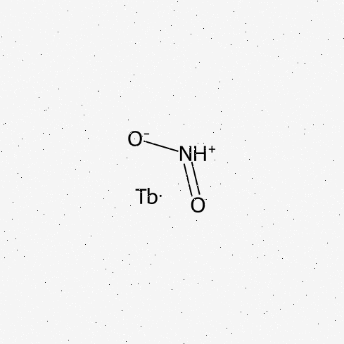 O=[NH+][O-].[Tb]